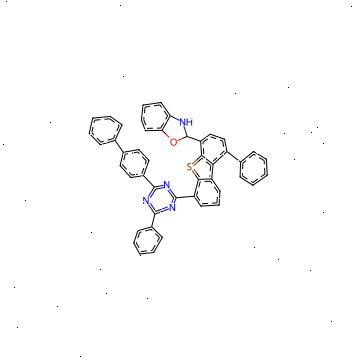 c1ccc(-c2ccc(-c3nc(-c4ccccc4)nc(-c4cccc5c4sc4c(C6Nc7ccccc7O6)ccc(-c6ccccc6)c45)n3)cc2)cc1